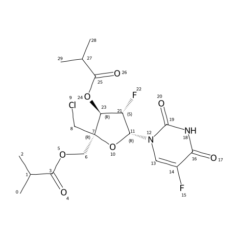 CC(C)C(=O)OC[C@@]1(CCl)O[C@@H](n2cc(F)c(=O)[nH]c2=O)[C@@H](F)[C@@H]1OC(=O)C(C)C